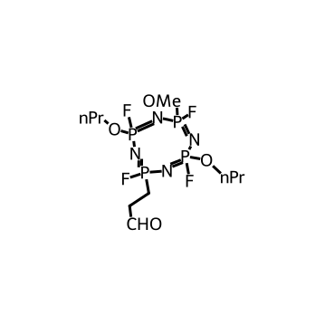 CCCOP1(F)=NP(F)(CCC=O)=NP(F)(OCCC)=NP(F)(OC)=N1